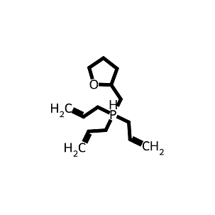 C=CC[PH](CC=C)(CC=C)CC1CCCO1